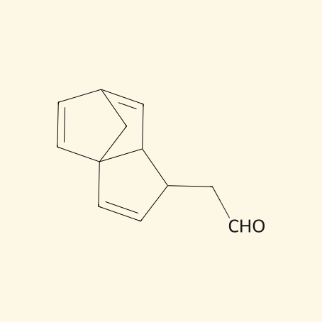 O=CCC1C=CC23C=CC(=CC12)C3